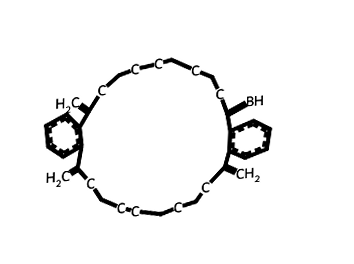 B=C1CCCCCCCCC(=C)c2ccccc2C(=C)CCCCCCCCC(=C)c2ccccc21